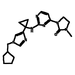 CN1CCN(c2ccnc(NC3(c4cn(CC5CCCC5)cn4)CC3)n2)C1=O